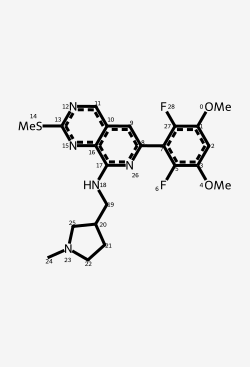 COc1cc(OC)c(F)c(-c2cc3cnc(SC)nc3c(NCC3CCN(C)C3)n2)c1F